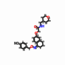 N#Cc1ccc(CO/N=C2/CCCc3cc(OCC(=O)NCC4CCOCC4)ccc32)cc1